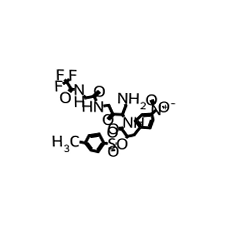 Cc1ccc(S(=O)(=O)OC(Cc2ccc([N+](=O)[O-])cc2)C(=O)NC(CN)C(=O)CNC(=O)CNC(=O)C(F)(F)F)cc1